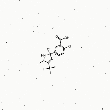 CC1N[N+]([O-])(c2ccc(Cl)c(C(=O)O)c2)N=C1C(F)(F)F